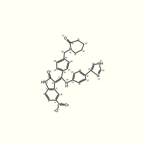 O=C1Nc2ccc([N+](=O)[O-])cc2C1=C(Nc1ccc(-c2c[nH]cn2)cc1)c1ccc(CN2CCCCC2=O)cc1